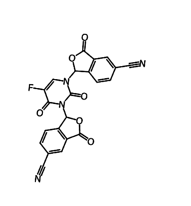 N#Cc1ccc2c(c1)C(=O)OC2n1cc(F)c(=O)n(C2OC(=O)c3cc(C#N)ccc32)c1=O